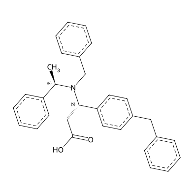 C[C@H](c1ccccc1)N(Cc1ccccc1)[C@@H](CC(=O)O)c1ccc(Cc2ccccc2)cc1